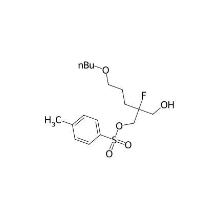 CCCCOCCCC(F)(CO)COS(=O)(=O)c1ccc(C)cc1